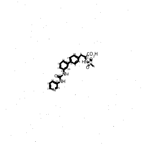 CS(=O)(=O)N[C@@H](Cc1ccc(-c2cccc(NC(=O)Nc3cccnc3)c2)cc1)C(=O)O